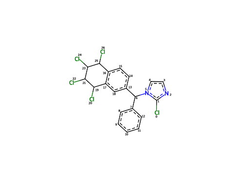 Clc1nccn1C(c1ccccc1)c1ccc2c(c1)C(Cl)C(Cl)C(Cl)C2Cl